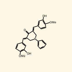 COc1ccc(C=C2CN(c3ccccc3)CC(=Cc3ccc(OC)c(O)c3)C2=O)cc1O